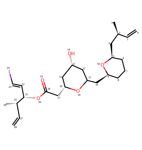 C=C[C@H](C)C[C@H]1CCC[C@@H](CC2C[C@@H](O)C[C@@H](CC(=O)O[C@@H](/C=C/I)[C@@H](C)C=C)O2)O1